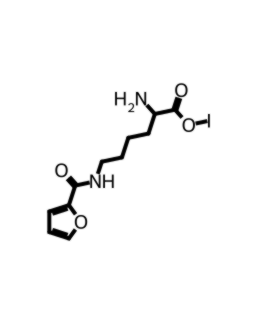 NC(CCCCNC(=O)c1ccco1)C(=O)OI